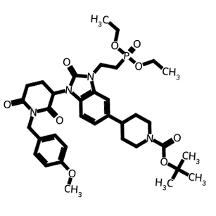 CCOP(=O)(CCn1c(=O)n(C2CCC(=O)N(Cc3ccc(OC)cc3)C2=O)c2ccc(C3CCN(C(=O)OC(C)(C)C)CC3)cc21)OCC